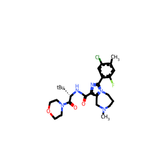 Cc1cc(F)c(-c2nc(C(=O)N[C@H](C(=O)N3CCOCC3)C(C)(C)C)c3n2CCCN(C)C3)cc1Cl